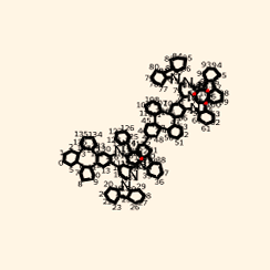 c1ccc2c(c1)-c1ccccc1-c1cc(-c3cc(-n4c5ccccc5c5ccccc54)nc(-n4c5ccccc5c5cc(-c6ccc7c(c6)-c6ccccc6-c6cc(-n8c9ccccc9c9ccccc98)c(-c8cc(-n9c%10ccccc%10c%10ccccc%109)nc(-n9c%10ccccc%10c%10ccccc%109)n8)cc6-c6ccccc6-7)ccc54)c3)c(-n3c4ccccc4c4ccccc43)cc1-c1ccccc1-2